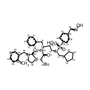 CC[C@H](C)[C@@H](C(=O)N[C@@H](Cc1ccccc1)[C@H](O)CN(CC1CCCC1)S(=O)(=O)c1ccc(C=NO)cc1)N1CCN(Cc2cnccc2C)C1=O